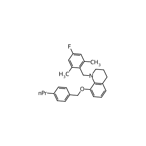 CCCc1ccc(COc2cccc3c2N(Cc2c(C)cc(F)cc2C)CCC3)cc1